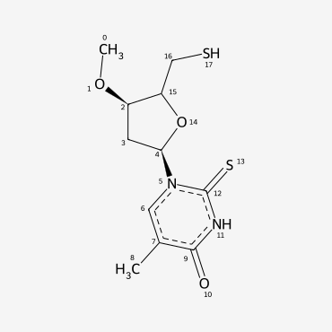 CO[C@@H]1C[C@H](n2cc(C)c(=O)[nH]c2=S)OC1CS